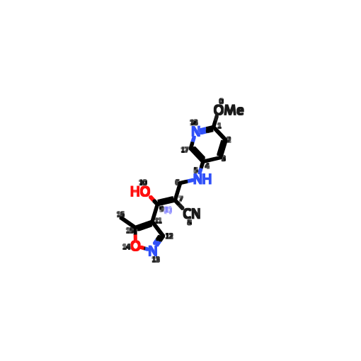 COc1ccc(NC/C(C#N)=C(\O)c2cnoc2C)cn1